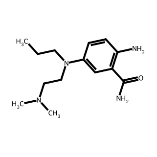 CCCN(CCN(C)C)c1ccc(N)c(C(N)=O)c1